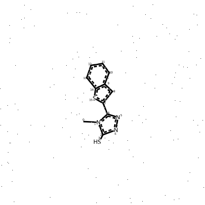 Cn1c(S)nnc1-c1cc2ccccc2s1